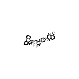 O=C(NCC(F)(F)F)C1(CCCCN2CCN(c3cnc4c(Cl)cccc4n3)CC2)c2ccccc2-c2ccccc21